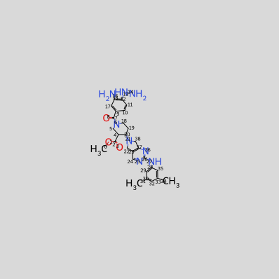 COC(=O)C1CN(C(=O)c2ccc(NN)c(N)c2)CCC1N1Cc2cnc(Nc3cc(C)cc(C)c3)nc2C1